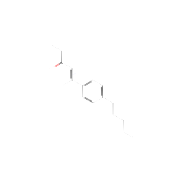 CCCCCc1ccc(/C(C)=C/C(=O)CC)cc1